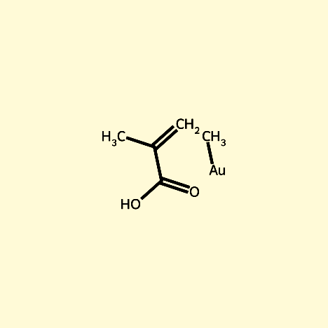 C=C(C)C(=O)O.[CH3][Au]